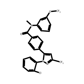 CN(C(=O)c1ccc(-c2cc(C(F)(F)F)nn2-c2ccccc2Cl)cc1)c1cccc(OC(F)(F)F)c1